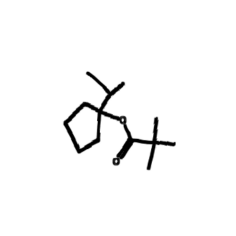 CC(C)C1(OC(=O)C(C)(C)C)CCCC1